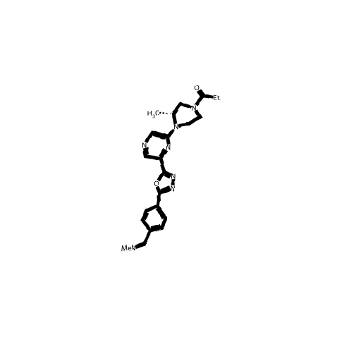 CCC(=O)N1CCN(c2cncc(-c3nnc(-c4ccc(CNC)cc4)o3)n2)[C@H](C)C1